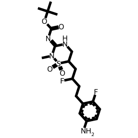 CN1/C(=N/C(=O)OC(C)(C)C)NCC(CC(F)CCc2cc(N)ccc2F)S1(=O)=O